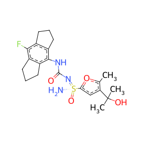 Cc1oc([S@@](N)(=O)=NC(=O)Nc2c3c(c(F)c4c2CCC4)CCC3)cc1C(C)(C)O